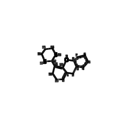 C1=C2Cc3ccccc3OC2=C(C2SCCCS2)CC1